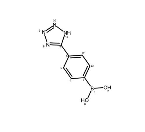 OB(O)c1ccc(-c2nnn[nH]2)cc1